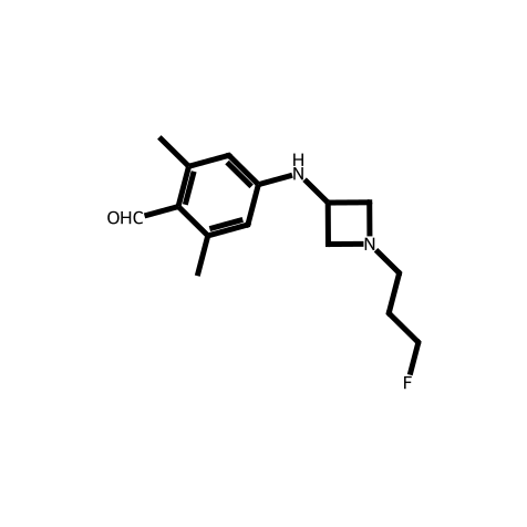 Cc1cc(NC2CN(CCCF)C2)cc(C)c1C=O